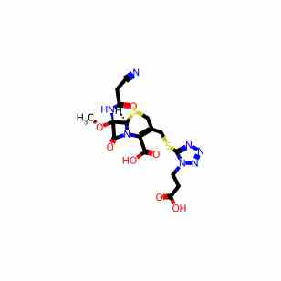 CO[C@@]1(NC(=O)CC#N)C(=O)N2C(C(=O)O)=C(CSc3nnnn3CCC(=O)O)CS[C@@H]21